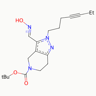 CCC#CCCCn1nc2c(c1/C=N/O)CN(C(=O)OC(C)(C)C)CC2